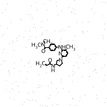 C=CC(=O)NC1CCN(c2ccc(C)c(Nc3ccc(C(=O)N(C)C)cc3)n2)C1